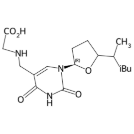 CCC(C)C(C)C1CC[C@H](n2cc(CNCC(=O)O)c(=O)[nH]c2=O)O1